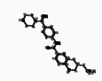 N=C(c1ccc(NC(=O)c2ccc3c(c2)CC(CC(=O)O)CO3)cc1)N1CCOCC1